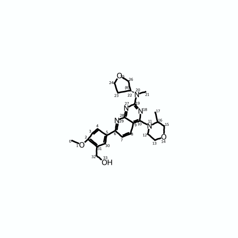 COc1ccc(-c2ccc3c(N4CCOCC4C)nc(N(C)[C@@H]4CCOC4)nc3n2)cc1CO